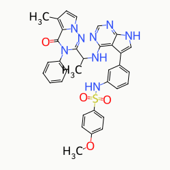 COc1ccc(S(=O)(=O)Nc2cccc(-c3c[nH]c4ncnc(NC(C)c5nn6ccc(C)c6c(=O)n5-c5ccccc5)c34)c2)cc1